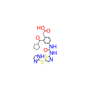 O=C(O)Cc1ccc(NC(=O)Nc2ncc(Sc3ncc[nH]3)s2)cc1C(=O)C1CCCC1